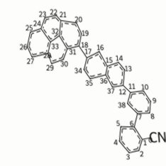 N#Cc1ccccc1-c1cccc(-c2ccc3cc(-c4ccc5ccc6cccc7ccc4c5c67)ccc3c2)c1